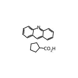 O=C(O)C1CCCC1.c1ccc2nc3ccccc3cc2c1